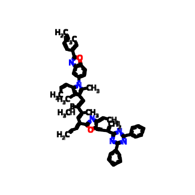 C=C/C=C\C(=C/C)c1nc2cc(-n3c(C)c(/C=C(BC)/C(C)=C/C(=C\C=C)c4nc(=C/C)/c(=C\C(=C)c5nc(-c6ccccc6)nc(-c6ccccc6)n5)o4)c(C)c3/C=C\C)ccc2o1